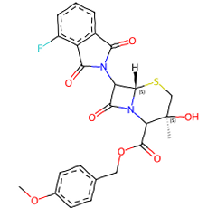 COc1ccc(COC(=O)C2N3C(=O)C(N4C(=O)c5cccc(F)c5C4=O)[C@@H]3SC[C@@]2(C)O)cc1